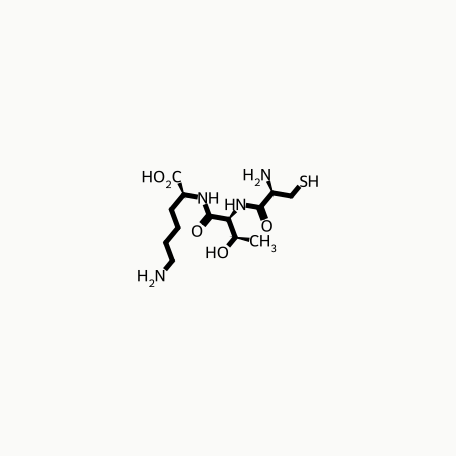 C[C@@H](O)[C@H](NC(=O)[C@@H](N)CS)C(=O)N[C@@H](CCCCN)C(=O)O